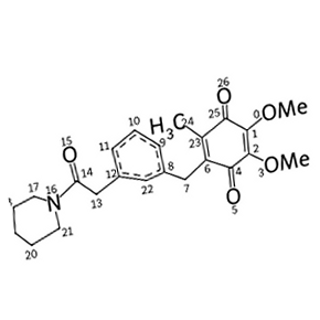 COC1=C(OC)C(=O)C(Cc2cccc(CC(=O)N3CCCCC3)c2)=C(C)C1=O